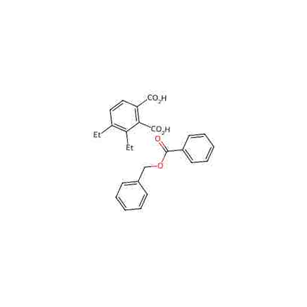 CCc1ccc(C(=O)O)c(C(=O)O)c1CC.O=C(OCc1ccccc1)c1ccccc1